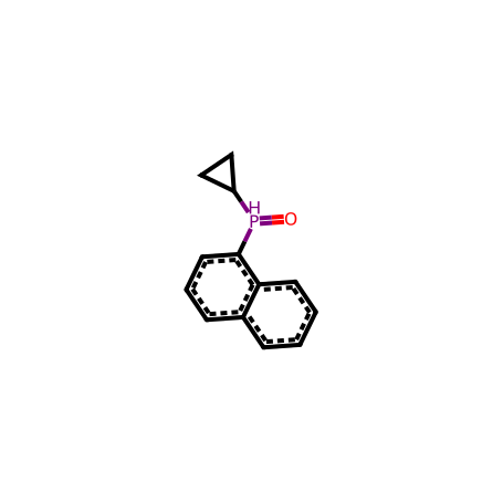 O=[PH](c1cccc2ccccc12)C1CC1